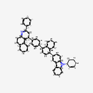 C1=CC(n2c3ccccc3c3cc(-c4ccc(-c5ccc(-c6cc(-c7ccccc7)nc7ccc8ccccc8c67)cc5)c5ccccc45)ccc32)CCC1